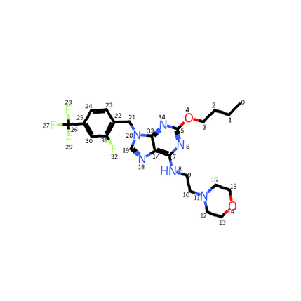 CCCCOc1nc(NCCN2CCOCC2)c2ncn(Cc3ccc(C(F)(F)F)cc3F)c2n1